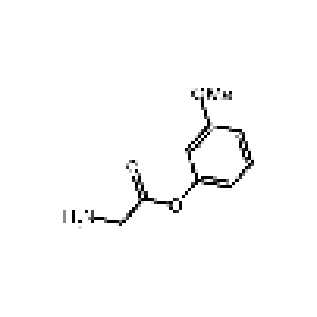 COc1cccc(OC(=O)CN)c1